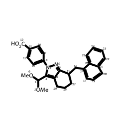 COC(OC)c1c2c(nn1-c1ccc(C(=O)O)cc1)C(Cc1cccc3ccccc13)CCC2